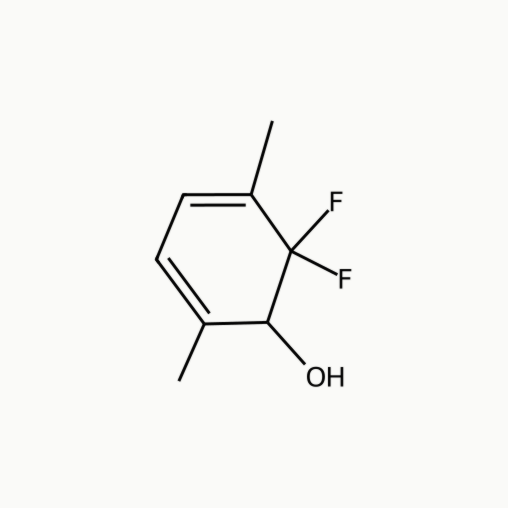 CC1=CC=C(C)C(F)(F)C1O